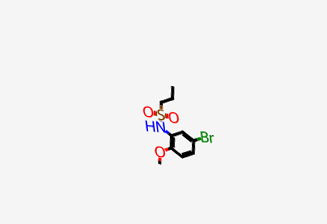 CCCS(=O)(=O)Nc1cc(Br)ccc1OC